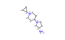 N[C@H]1CCN(C2CCN(C3CC3)CC2)C1